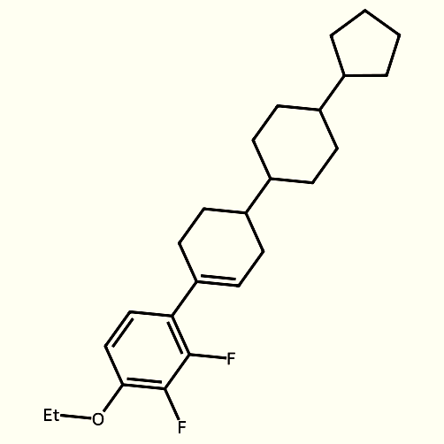 CCOc1ccc(C2=CCC(C3CCC(C4CCCC4)CC3)CC2)c(F)c1F